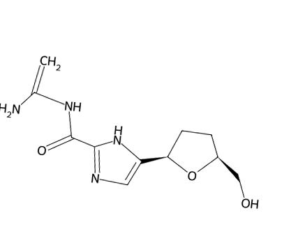 C=C(N)NC(=O)c1ncc([C@H]2CC[C@@H](CO)O2)[nH]1